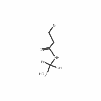 O=C(CCBr)NC(O)(Br)C(=O)O